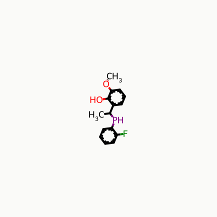 COc1cccc(C(C)Pc2ccccc2F)c1O